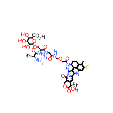 CC[C@@]1(O)C(=O)OCc2c1cc1n(c2=O)Cc2c-1nc1cc(F)c(C)c3c1c2[C@@H](NC(=O)COCNC(=O)CNC(=O)[C@H](CO[C@@H]1O[C@H](C(=O)O)[C@@H](O)[C@H](O)[C@H]1O)NC(=O)[C@@H](N)C(C)C)CC3